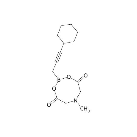 CN1CC(=O)OB(CC#CC2CCCCC2)OC(=O)C1